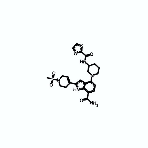 CS(=O)(=O)N1CC=C(c2cc3c(N4CCCC(NC(=O)c5nccs5)C4)ccc(C(N)=O)c3[nH]2)CC1